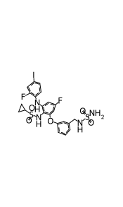 NS(=O)(=O)NCc1cccc(Oc2cc(F)cc(Nc3ccc(I)cc3F)c2NS(=O)(=O)C2CC2)c1